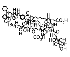 CC(C)(C)C(=O)CN1C(=O)[C@H](NC(=O)Nc2cccc(C(=O)NCCCCCCCC(=O)N[C@H](CCC(=O)O)C(=O)N[C@H](CCC(=O)NC[C@@H](O)[C@H](O)[C@@H](O)[C@H](O)CO)C(=O)N[C@H](CCC(=O)O)C(=O)N[C@H](CCC(=O)NCC[C@H](O)[C@@H](O)[C@H](O)CO)C(=O)NCCSSCCOO)c2)CN(C2CCCCC2)c2ccccc21